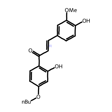 CCCCOc1ccc(C(=O)/C=C/c2ccc(O)c(OC)c2)c(O)c1